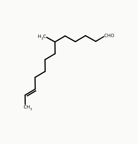 CC=CCCCCC(C)CCCCC=O